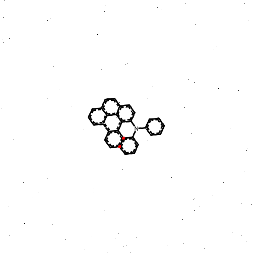 c1ccc(N(c2ccccc2)c2ccc3ccc4cccc5c6ccccc6c2c3c45)cc1